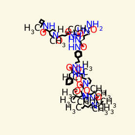 CCCCCN(C)[C@H](C(=O)N[C@H](C(=O)N(C)[C@@H]([C@@H](C)CC)[C@@H](CC(=O)N1CCC[C@H]1[C@H](OC)[C@@H](C)C(=O)N[C@@H](Cc1ccccc1)C(=O)NCCc1ccc(NC(=O)[C@H](CCCNC(N)=O)NC(=O)[C@@H](NC(=O)CCC(=O)N2CCC(C(=O)NC3(CC)CCC3)CC2C)C(C)C)cc1)OC)C(C)C)C(C)C